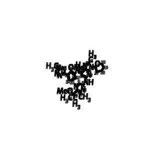 COc1c(Nc2cc(Nc3cnc(C(C)(C)OC)c(C)n3)nc3c2nc(C)n3C2CCCCO2)cccc1-c1nnn(C)n1